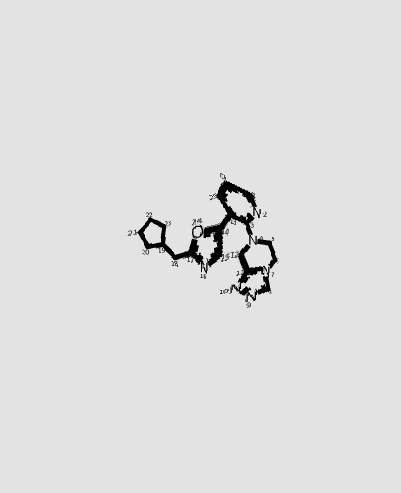 c1cnc(N2CCn3cnnc3C2)c(-c2cnc(CC3CCCC3)o2)c1